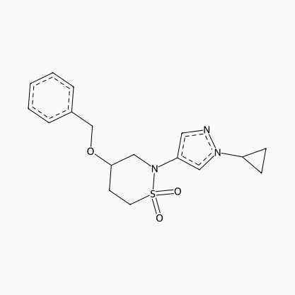 O=S1(=O)CCC(OCc2ccccc2)CN1c1cnn(C2CC2)c1